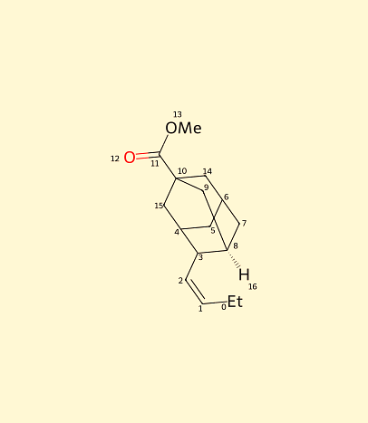 CC/C=C\C1C2CC3C[C@@H]1CC(C(=O)OC)(C3)C2